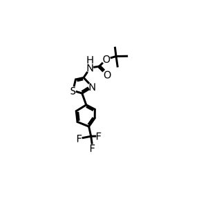 CC(C)(C)OC(=O)Nc1csc(-c2ccc(C(F)(F)F)cc2)n1